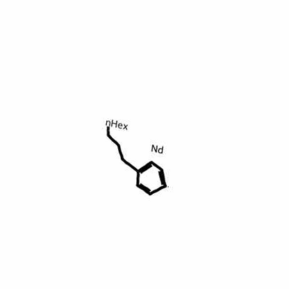 CCCCCCCCCc1cc[c]cc1.[Nd]